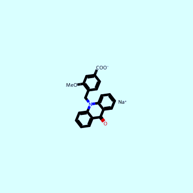 COc1cc(C(=O)[O-])ccc1Cn1c2ccccc2c(=O)c2ccccc21.[Na+]